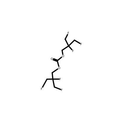 O=C(OCC(F)(CF)CF)OCC(F)(CF)CF